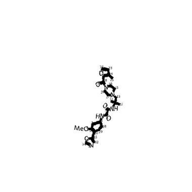 COc1cc(NC(=O)C(=O)NC(C)(C)CN2CCN(C(=O)c3occc3C)CC2)ccc1-c1cnco1